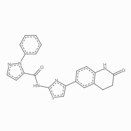 O=C1CCc2cc(-c3csc(NC(=O)c4ccnn4-c4ccccc4)n3)ccc2N1